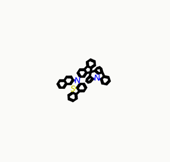 c1ccc2c(c1)-c1ccc(N(c3ccc4ccccc4c3)c3cccc4c3sc3ccccc34)cc1C21c2ccccc2-n2c3ccccc3c3cccc1c32